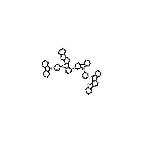 c1cc(-n2c3ccccc3c3ccc(-c4cccc5c4c4ccc6c7ccccc7sc6c4n5-c4ccc(-n5c6ccccc6c6ccccc65)cc4)cc32)cc(-n2c3ccccc3c3ccc4c5ccccc5sc4c32)c1